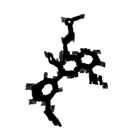 COCCn1c(=O)c(-c2cccc(C#N)c2)nc2c(N)ccnc21